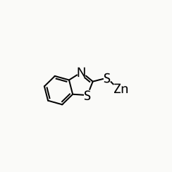 [Zn][S]c1nc2ccccc2s1